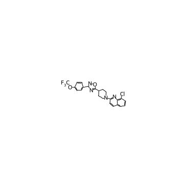 FC(F)(F)Oc1ccc(-c2noc(C3CCN(c4ccc5cccc(Cl)c5n4)CC3)n2)cc1